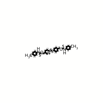 Cc1ccc(NC(=S)OCc2ccc(SSc3ccc(COC(=S)Nc4ccc(C)cc4)cn3)cc2)cc1